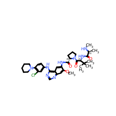 CN[C@@H](C)C(=O)N[C@H](C(=O)N1CCC[C@H]1C(=O)Nc1cc2c(Nc3ccc(N4CCCCC4)c(Cl)c3)ncnc2cc1OC)C(C)(C)C